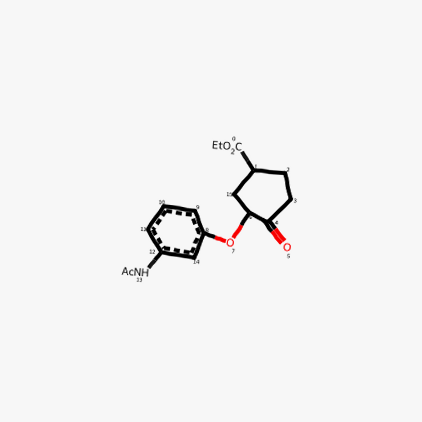 CCOC(=O)C1CCC(=O)C(Oc2cccc(NC(C)=O)c2)C1